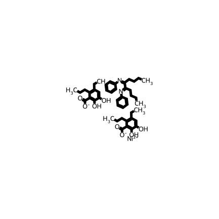 CCCCC(=Nc1ccccc1)C(CCCC)=Nc1ccccc1.CCCc1c(CC)cc(O)c(O)c1C(=O)[O-].CCCc1c(CC)cc(O)c(O)c1C(=O)[O-].[Ni+2]